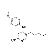 CCCCCc1cnc(N)nc1Nc1ccc(OC)nc1